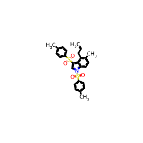 C=CCc1c(C)ccc2c1c(S(=O)(=O)c1ccc(C)cc1)cn2S(=O)(=O)c1ccc(C)cc1